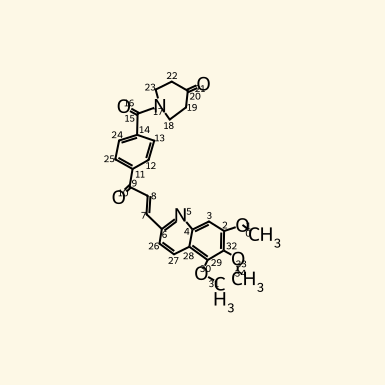 COc1cc2nc(C=CC(=O)c3ccc(C(=O)N4CCC(=O)CC4)cc3)ccc2c(OC)c1OC